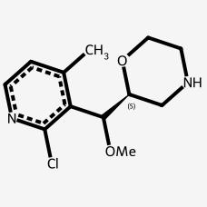 COC(c1c(C)ccnc1Cl)[C@@H]1CNCCO1